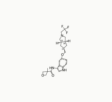 CC1(C(=O)Nc2c[nH]c3ccc(OC[C@H]4C[C@@H]5CN(CC(F)(F)F)C[C@@H]5C4)cc23)COC1